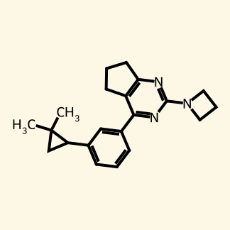 CC1(C)CC1c1cccc(-c2nc(N3CCC3)nc3c2CCC3)c1